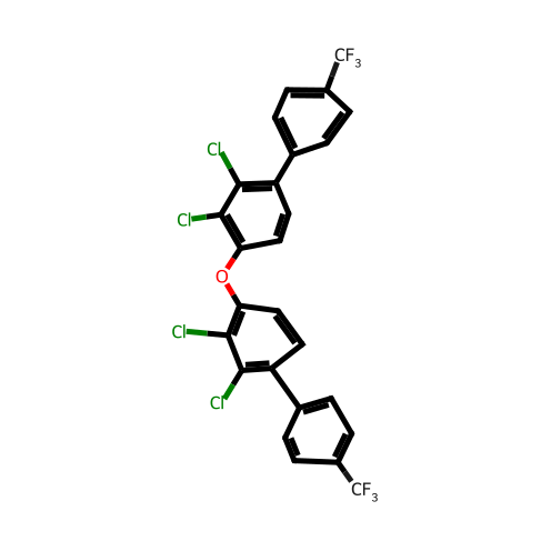 FC(F)(F)c1ccc(-c2ccc(Oc3ccc(-c4ccc(C(F)(F)F)cc4)c(Cl)c3Cl)c(Cl)c2Cl)cc1